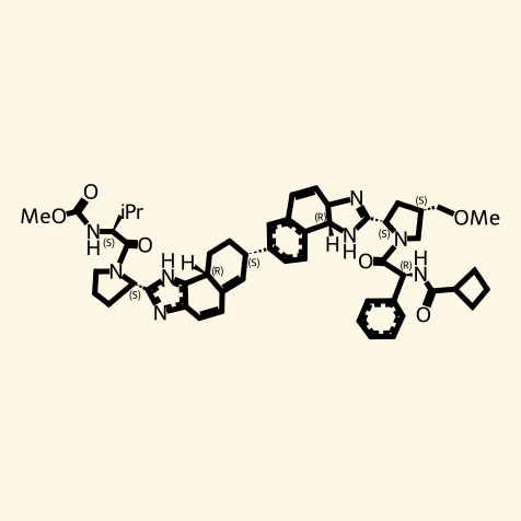 COC[C@H]1C[C@@H](C2=NC3C=Cc4cc([C@@H]5C=C6C=Cc7nc([C@@H]8CCCN8C(=O)[C@@H](NC(=O)OC)C(C)C)[nH]c7[C@@H]6CC5)ccc4[C@H]3N2)N(C(=O)[C@H](NC(=O)C2CCC2)c2ccccc2)C1